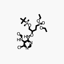 CCOP(=O)(CCC(CO[Si](C)(C)C(C)(C)C)ONc1ncnc(Cl)c1NC=O)OCC